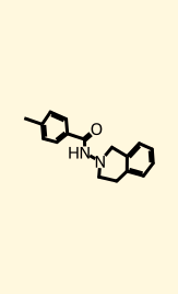 Cc1ccc(C(=O)NN2CCc3ccccc3C2)cc1